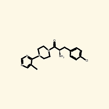 Cc1cncnc1N1CCN(C(=O)[C@H](N)Cc2ccc(Cl)cc2)CC1